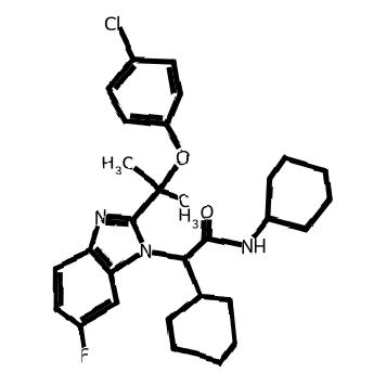 CC(C)(Oc1ccc(Cl)cc1)c1nc2ccc(F)cc2n1C(C(=O)NC1CCCCC1)C1CCCCC1